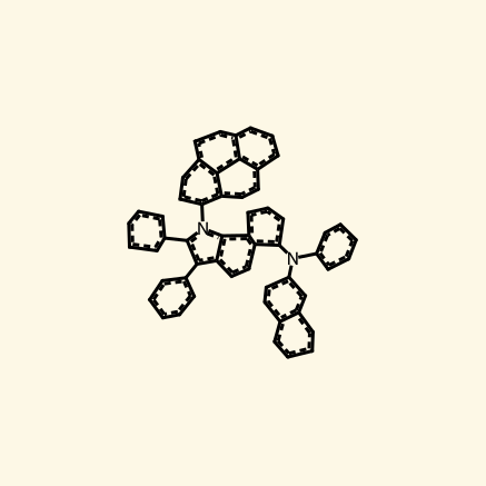 c1ccc(-c2c(-c3ccccc3)n(-c3ccc4ccc5cccc6ccc3c4c56)c3c2ccc2c(N(c4ccccc4)c4ccc5ccccc5c4)cccc23)cc1